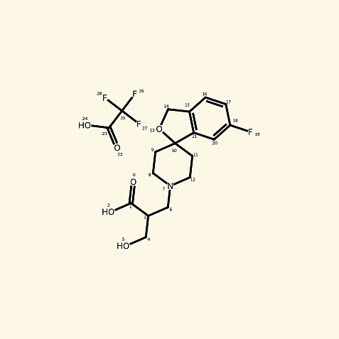 O=C(O)C(CO)CN1CCC2(CC1)OCc1ccc(F)cc12.O=C(O)C(F)(F)F